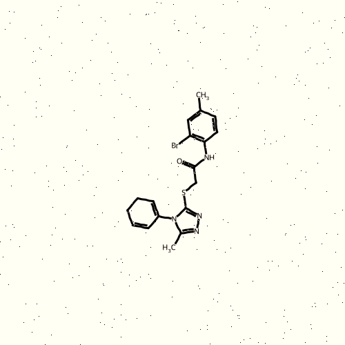 Cc1ccc(NC(=O)CSc2nnc(C)n2C2=CCCC=C2)c(Br)c1